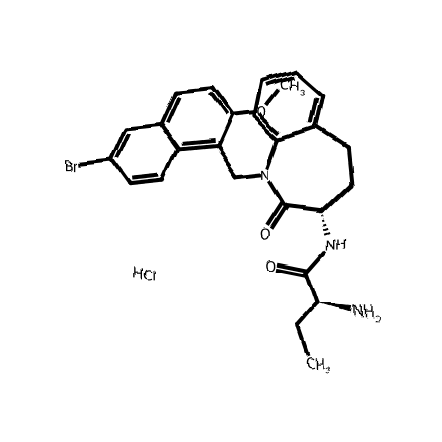 CC[C@H](N)C(=O)N[C@H]1CCc2ccccc2N(Cc2c(OC)ccc3cc(Br)ccc23)C1=O.Cl